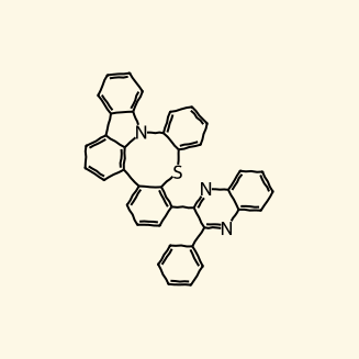 c1ccc(-c2nc3ccccc3nc2-c2cccc3c2sc2ccccc2n2c4ccccc4c4cccc3c42)cc1